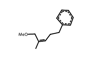 COCC(C)=CCCc1ccccc1